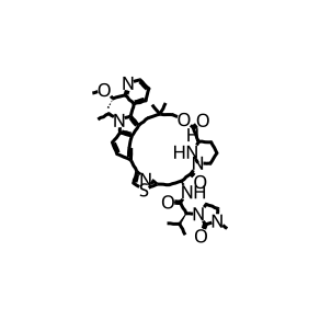 CCn1c(-c2cccnc2[C@H](C)OC)c2c3cc(ccc31)-c1csc(n1)C[C@H](NC(=O)[C@H](C(C)C)N1CCN(C)C1=O)C(=O)N1CCC[C@H](N1)C(=O)OCC(C)(C)C2